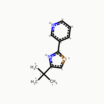 CC(C)(C)c1csc(-c2cccnc2)n1